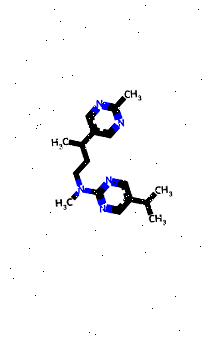 Cc1ncc(C(C)CCN(C)c2ncc(C(C)C)cn2)cn1